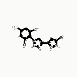 FC(F)(F)c1cc(Cl)c(-n2cc(-c3cc(Br)no3)nn2)c(Cl)c1